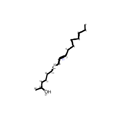 CCCCCCC/C=C/CCCCCCC(C)O